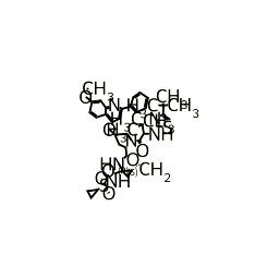 C=C[C@@H]1C[C@]1(NC(=O)C1CC(Oc2cc(-c3ccccc3)nc3cc(OC)ccc23)CN1C(=O)C(Nc1nc(C(C)(C)C)cs1)C(C)(C)C)C(=O)NS(=O)(=O)C1CC1